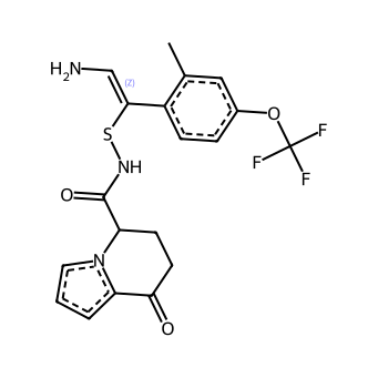 Cc1cc(OC(F)(F)F)ccc1/C(=C/N)SNC(=O)C1CCC(=O)c2cccn21